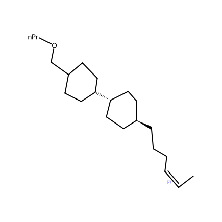 C/C=C\CCC[C@H]1CC[C@H](C2CCC(COCCC)CC2)CC1